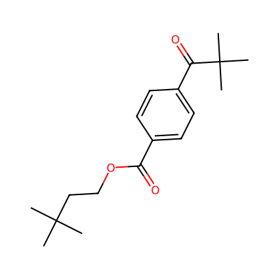 CC(C)(C)CCOC(=O)c1ccc(C(=O)C(C)(C)C)cc1